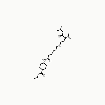 CCCC(=O)C1CCC(NC(=O)CCOCCOCCN(C(=O)CC(C)C)C(C)C)CC1